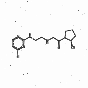 N#C[C@@H]1CCCN1C(=O)CNCCNc1nccc(Cl)n1